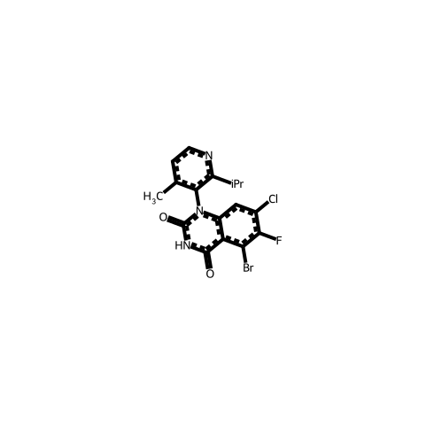 Cc1ccnc(C(C)C)c1-n1c(=O)[nH]c(=O)c2c(Br)c(F)c(Cl)cc21